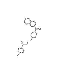 O=C(CCCN1CCC(C(=O)c2ccc3ccccc3c2)CC1)c1ccc(F)cc1